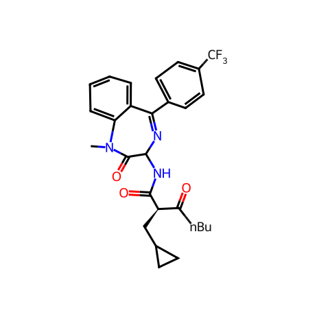 CCCCC(=O)[C@@H](CC1CC1)C(=O)NC1N=C(c2ccc(C(F)(F)F)cc2)c2ccccc2N(C)C1=O